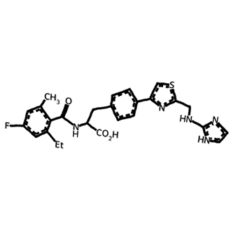 CCc1cc(F)cc(C)c1C(=O)NC(Cc1ccc(-c2csc(CNc3ncc[nH]3)n2)cc1)C(=O)O